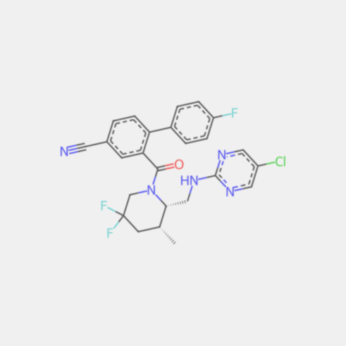 C[C@@H]1CC(F)(F)CN(C(=O)c2cc(C#N)ccc2-c2ccc(F)cc2)[C@@H]1CNc1ncc(Cl)cn1